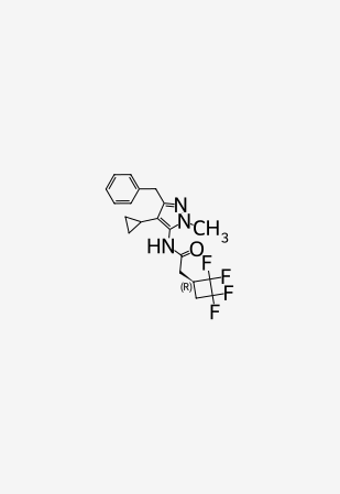 Cn1nc(Cc2ccccc2)c(C2CC2)c1NC(=O)C[C@@H]1CC(F)(F)C1(F)F